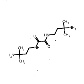 CC(C)(N)CCNC(=O)C(=O)NCCC(C)(C)N